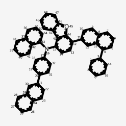 c1ccc(-c2cccc3ccc(-c4ccc(N(c5ccc(-c6ccc7ccccc7c6)cc5)c5cccc6ccccc56)c5c4oc4ccccc45)cc23)cc1